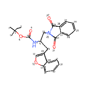 CC(C)(C)OC(=O)NC(Cc1coc2ccccc12)CN1C(=O)c2ccccc2C1=O